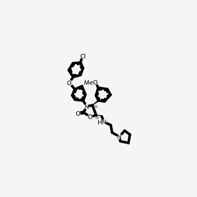 COc1cccc([C@H]2[C@H](CNCCN3CCCC3)OC(=O)N2c2ccc(Oc3ccc(Cl)cc3)cc2)c1